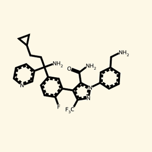 NCc1cccc(-n2nc(C(F)(F)F)c(-c3cc(C(N)(CCC4CC4)c4cccnc4)ccc3F)c2C(N)=O)c1